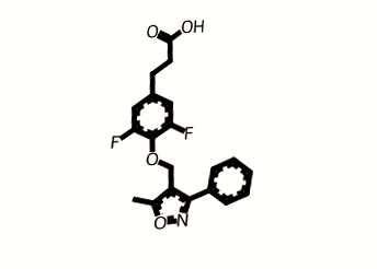 Cc1onc(-c2ccccc2)c1COc1c(F)cc(CCC(=O)O)cc1F